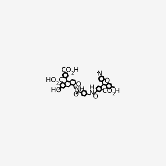 C=c1ccc2c(c1)Oc1cc(N(C)C)ccc1C=2c1ccc(C(=O)NCc2ccc(C(=O)NCC3=C4Cc5cc(O)ccc5C(c5ccc(C(=O)O)cc5C(=O)O)=C4C=CC3=O)cc2)cc1C(=O)O